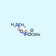 COc1ccc(-n2ccn(-c3ccc(OCCN(C)C)cc3)c2=O)cc1-c1ccccc1